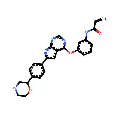 C=CC(=O)Nc1cccc(Oc2ncnc3[nH]c(-c4ccc(C5CNCCO5)cc4)cc23)c1